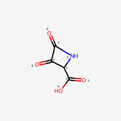 O=C1NC(C(=O)O)C1=O